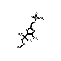 Cc1nc(COS(C)(=O)=O)oc1C(C)(C)O[SiH2]C(C)(C)C